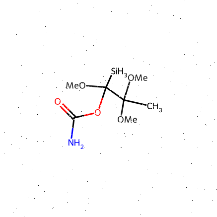 COC(C)(OC)C([SiH3])(OC)OC(N)=O